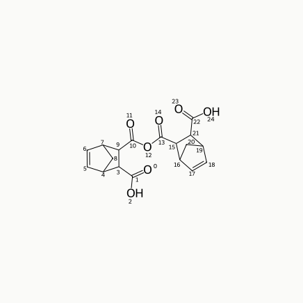 O=C(O)C1C2C=CC(C2)C1C(=O)OC(=O)C1C2C=CC(C2)C1C(=O)O